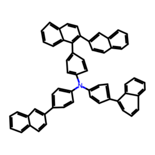 c1ccc2cc(-c3ccc(N(c4ccc(-c5cccc6ccccc56)cc4)c4ccc(-c5c(-c6ccc7ccccc7c6)ccc6ccccc56)cc4)cc3)ccc2c1